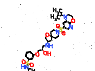 CNS(=O)(=O)c1cccc(OC[C@@H](O)CN[C@H]2COC3(CCN(S(=O)(=O)c4cnc5c(c4)N(C(C)C)CCO5)CC3)C2)c1